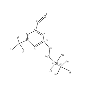 CC(C)(C)c1cc(C=O)cc(CO[Si](C)(C)C(C)(C)C)c1